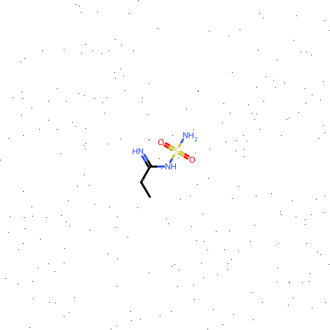 C[CH]C(=N)NS(N)(=O)=O